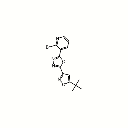 CC(C)(C)c1cc(-c2nnc(-c3cccnc3Br)o2)no1